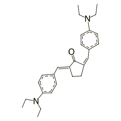 CCN(CC)c1ccc(/C=C2/CC/C(=C\c3ccc(N(CC)CC)cc3)C2=O)cc1